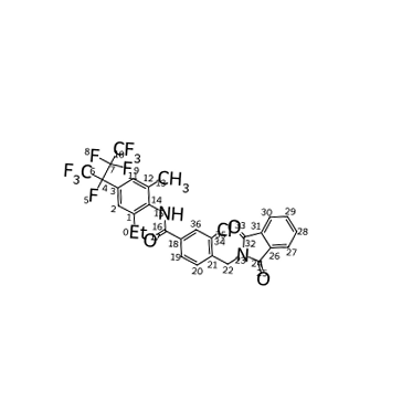 CCc1cc(C(F)(C(F)(F)F)C(F)(F)C(F)(F)F)cc(C)c1NC(=O)c1ccc(CN2C(=O)c3ccccc3C2=O)c(Cl)c1